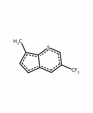 Cc1ccc2cc(C(F)(F)F)csc1-2